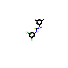 Cc1cc(C)cc(NC(=S)Nc2cc(Cl)cc(Cl)c2)c1